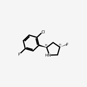 Fc1ccc(Cl)c([C@H]2C[C@H](F)CN2)c1